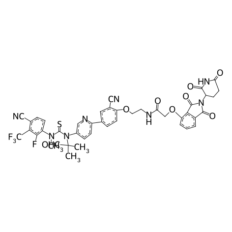 CN(C(=S)N(c1ccc(-c2ccc(OCCNC(=O)COc3cccc4c3C(=O)N(C3CCC(=O)NC3=O)C4=O)c(C#N)c2)nc1)C(C)(C)C=O)c1ccc(C#N)c(C(F)(F)F)c1F